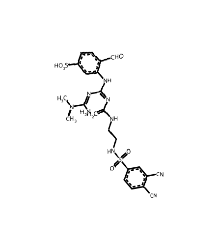 C=C(/N=C(\N=C(/N)N(C)C)Nc1cc(S(=O)(=O)O)ccc1C=O)NCCNS(=O)(=O)c1ccc(C#N)c(C#N)c1